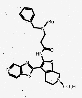 CCC(C)N(CCC(=O)Nc1sc2c(c1-c1nc3cnccc3s1)CCN(C(=O)O)C2)Cc1ccccc1